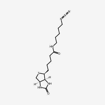 [N-]=[N+]=NCCCCCNC(=O)CCCC[C@@H]1SC[C@@H]2NC(=O)N[C@@H]21